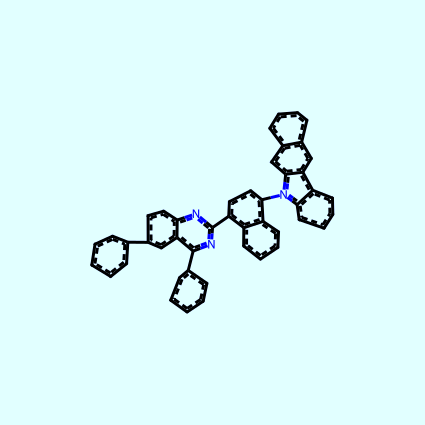 c1ccc(-c2ccc3nc(-c4ccc(-n5c6ccccc6c6cc7ccccc7cc65)c5ccccc45)nc(-c4ccccc4)c3c2)cc1